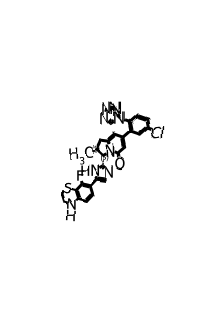 C[C@H]1Cc2cc(-c3cc(Cl)ccc3-n3cnnn3)cc(=O)n2[C@@H]1c1ncc(-c2ccc3c(c2F)SCCN3)[nH]1